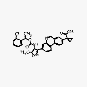 Cc1onc(-c2ccc3c(c2)ncc2cc(C4(C(=O)O)CC4)ccc23)c1NC(=O)OC(C)c1ccccc1Cl